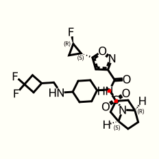 O=C(NC1C[C@H]2CC[C@@H](C1)N2S(=O)(=O)CC1CCC(NCC2CC(F)(F)C2)CC1)c1cc([C@@H]2C[C@H]2F)on1